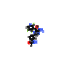 CC(=O)Nc1cccc(-c2cnc(N)c(C(=O)c3c(F)nc(C)c(F)c3F)n2)c1